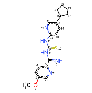 COc1ccc(C(=N)NC(=S)Nc2ccc(C3CCCC3)cn2)nc1